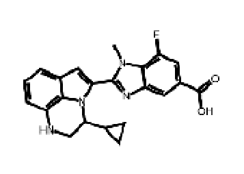 Cn1c(-c2cc3cccc4c3n2C(C2CC2)CN4)nc2cc(C(=O)O)cc(F)c21